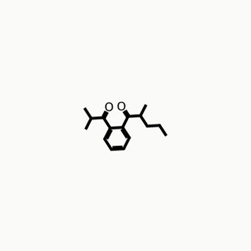 CCCC(C)C(=O)c1ccccc1C(=O)C(C)C